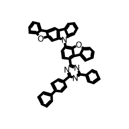 c1ccc(-c2ccc(-c3nc(-c4ccccc4)nc(-c4ccc(-n5c6ccccc6c6cc7c(cc65)oc5ccccc57)c5oc6ccccc6c45)n3)cc2)cc1